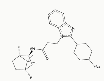 CC(C)(C)C1CCC(c2nc3ccccc3n2CCC(=O)N[C@H]2C[C@H]3CC[C@]2(C)C3(C)C)CC1